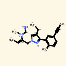 CC#Cc1ccc(C)c(-c2nn(C/C(=C/C)N(C)CN)cc2CC)c1